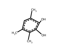 Cc1cc(C)c(O)c(O)c1C